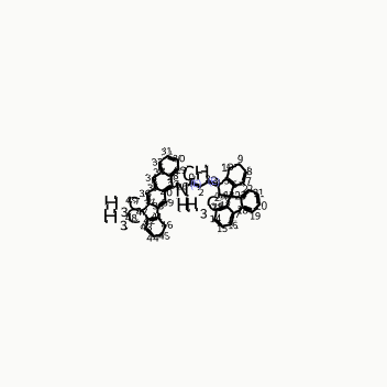 C/C(=C\C=C1\C2=C(C=CCC2)C2(c3ccccc3-c3ccccc32)C1C)Nc1c2ccccc2cc2cc3c(cc12)C1=C(C=CCC1)C3(C)C